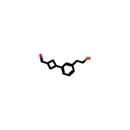 O=CC1CC(c2cccc(CCO)c2)C1